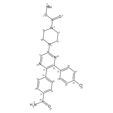 CC(C)(C)OC(=O)N1CCN(c2cnc(-c3ccc(C(N)=O)cc3)c(-c3ccc(Cl)cc3)n2)CC1